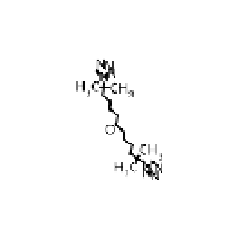 CC(C)(CCCCC(=O)CCCCC(C)(C)n1cnnn1)n1cnnn1